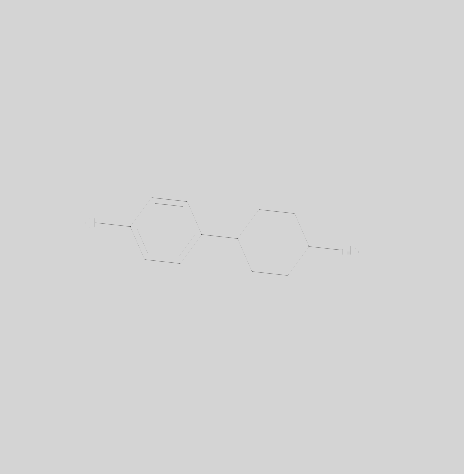 CCCCCC1CCC(c2ccc(Cl)cc2)CC1